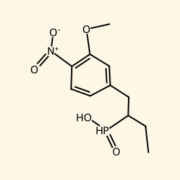 CCC(Cc1ccc([N+](=O)[O-])c(OC)c1)[PH](=O)O